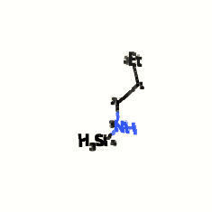 CCCCN[SiH3]